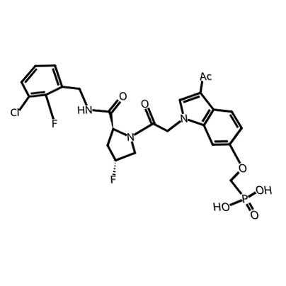 CC(=O)c1cn(CC(=O)N2C[C@H](F)C[C@H]2C(=O)NCc2cccc(Cl)c2F)c2cc(OCP(=O)(O)O)ccc12